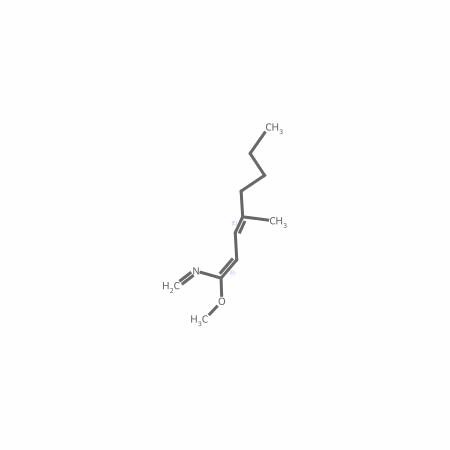 C=N/C(=C\C=C(/C)CCCC)OC